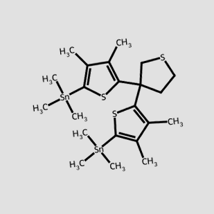 Cc1c(C2(c3s[c]([Sn]([CH3])([CH3])[CH3])c(C)c3C)CCSC2)s[c]([Sn]([CH3])([CH3])[CH3])c1C